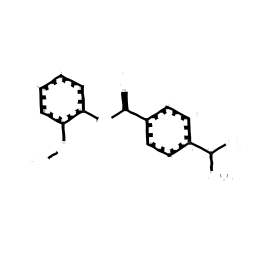 CCCCCOc1ccccc1OC(=O)c1ccc(C(C)OC)cc1